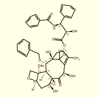 CC(=O)O[C@H]1C(=O)[C@@]2(C)[C@H]([C@H](OCc3ccccc3)[C@]3(O)C[C@H](OC(=O)[C@H](O)[C@@H](NC(=O)c4ccccc4)c4ccccc4)C(C)=C1C3(C)C)[C@]1(OC(C)=O)CO[C@@H]1C[C@@H]2O